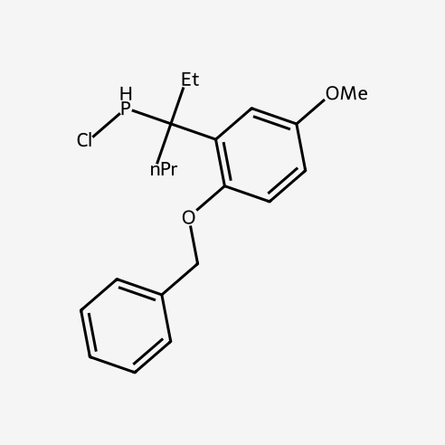 CCCC(CC)(PCl)c1cc(OC)ccc1OCc1ccccc1